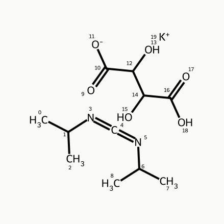 CC(C)N=C=NC(C)C.O=C([O-])C(O)C(O)C(=O)O.[K+]